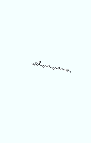 BC/C=C/COCCOCCOCCOCCC(=O)OC